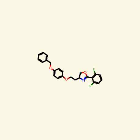 Fc1cccc(F)c1C1=NC(CCOc2ccc(OCc3ccccc3)cc2)CO1